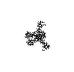 CC1(C)CCC(C)(C)c2cc(-c3ccc(N4c5ccc(-c6ccc7c(c6)C(C)(C)CCC7(C)C)cc5B5c6cc(-c7ccc8c(c7)C(C)(C)CCC8(C)C)ccc6N(c6ccc(-c7ccc8c(c7)C(C)(C)CCC8(C)C)cc6)c6c7c8c(c4c65)CCCN8CCC7)cc3)ccc21